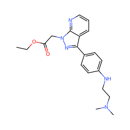 CCOC(=O)Cn1nc(-c2ccc(NCCN(C)C)cc2)c2cccnc21